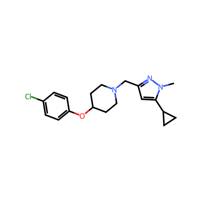 Cn1nc(CN2CCC(Oc3ccc(Cl)cc3)CC2)cc1C1CC1